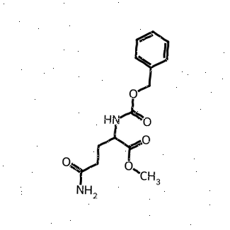 COC(=O)C(CCC(N)=O)NC(=O)OCc1ccccc1